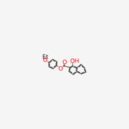 CCOc1ccc(OC(=O)c2ccc3ccccc3c2O)cc1